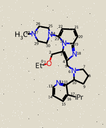 CCOCc1c(CN2CCCC2c2ncccc2C(C)C)nc2cccc(N3CCN(C)CC3)n12